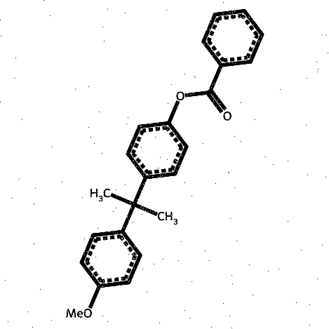 COc1ccc(C(C)(C)c2ccc(OC(=O)c3ccccc3)cc2)cc1